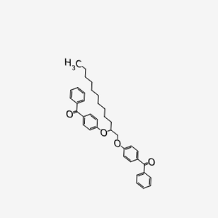 CCCCCCCCCCC(COc1ccc(C(=O)c2ccccc2)cc1)Oc1ccc(C(=O)c2ccccc2)cc1